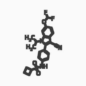 CC(C)n1c(-c2ccc(NS(=O)(=O)C3CCC3)cc2)c(C#N)c2ccc(OC(F)F)cc21